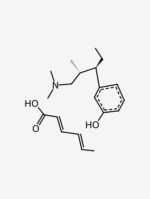 C/C=C/C=C/C(=O)O.CC[C@@H](c1cccc(O)c1)[C@@H](C)CN(C)C